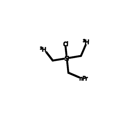 [3H]C[Si](Cl)(C[3H])CCCC